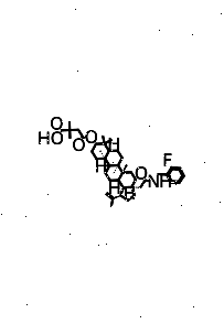 C=C(C)[C@@H]1CC[C@]2(CC(=O)NCc3ccccc3F)CC[C@]3(C)[C@H](CC[C@@H]4[C@@]5(C)CC[C@H](OC(=O)CC(C)(C)C(=O)O)C(C)(C)[C@@H]5CC[C@]43C)[C@@H]12